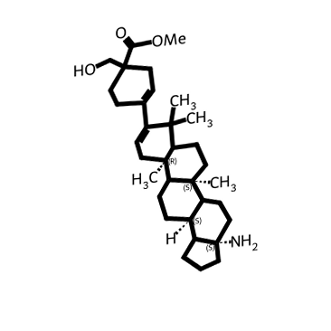 COC(=O)C1(CO)CC=C(C2=CC[C@@]3(C)C(CC[C@@]4(C)C5CC[C@@]6(N)CCCC6[C@H]5CCC43)C2(C)C)CC1